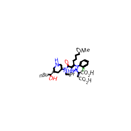 CCCCC(O)[C@H]1CNC[C@@H](N(CC(C)C)C(=O)C2=C(CCCCOC)N(c3ccccc3F)N(/C(=C/C(=O)O)C(=O)O)N2)C1